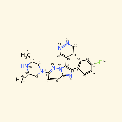 C[C@@H]1CN(c2ccc3nc(-c4ccc(F)cc4)c(-c4ccnnc4)n3n2)C[C@H](C)N1